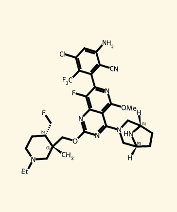 CCN1CC[C@H](CF)[C@](C)(COc2nc(N3C[C@H]4CC[C@@H](C3)N4)c3c(OC)nc(-c4c(C#N)c(N)cc(Cl)c4C(F)(F)F)c(F)c3n2)C1